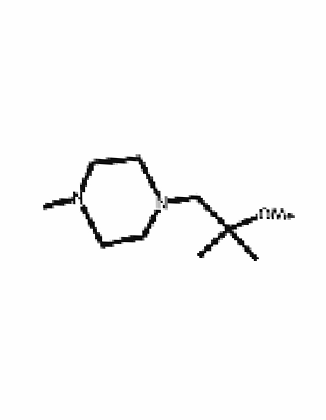 COC(C)(C)CN1CCN(C)CC1